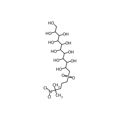 CC(C)(CCCS(=O)(=O)CC(O)C(O)C(O)C(O)C(O)C(O)C(O)C(O)C(O)CO)N(Cl)Cl